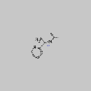 C=C(C)/N=C(\N)c1ccccn1